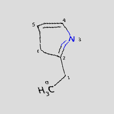 CCC1=NC=CC1